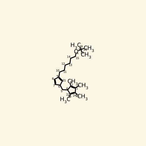 CC1=C(C)C(CC2C=CC(CCCCCCOC(C)(C)C)=C2)C(C)=C1C